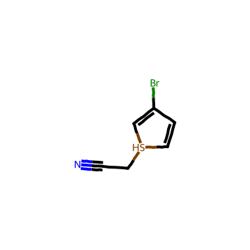 N#CC[SH]1C=CC(Br)=C1